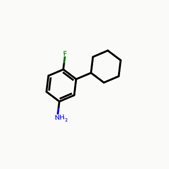 Nc1ccc(F)c(C2CCCCC2)c1